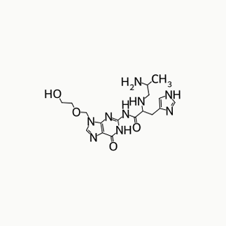 CC(N)CNC(Cc1c[nH]cn1)C(=O)Nc1nc2c(ncn2COCCO)c(=O)[nH]1